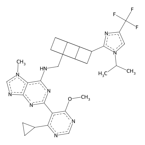 COc1ncnc(C2CC2)c1-c1nc(NCC23C4C5C2C2C3C4C52c2nc(C(F)(F)F)cn2C(C)C)c2c(ncn2C)n1